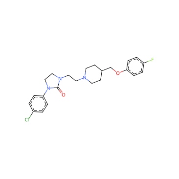 O=C1N(CCN2CCC(COc3ccc(F)cc3)CC2)CCN1c1ccc(Cl)cc1